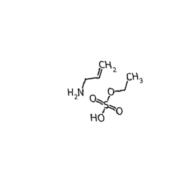 C=CCN.CCOS(=O)(=O)O